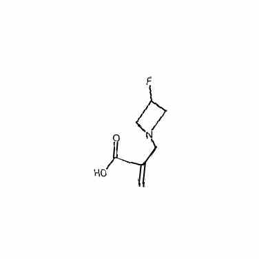 C=C(CN1CC(F)C1)C(=O)O